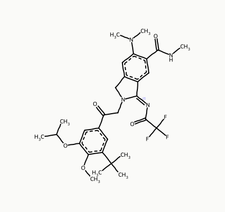 CNC(=O)c1cc2c(cc1N(C)C)CN(CC(=O)c1cc(OC(C)C)c(OC)c(C(C)(C)C)c1)/C2=N\C(=O)C(F)(F)F